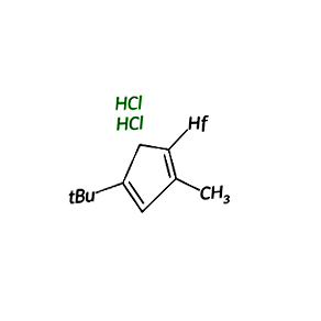 CC1=[C]([Hf])CC(C(C)(C)C)=C1.Cl.Cl